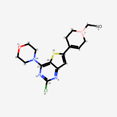 O=NCB1CC=C(c2cc3nc(Cl)nc(N4CCOCC4)c3s2)CC1